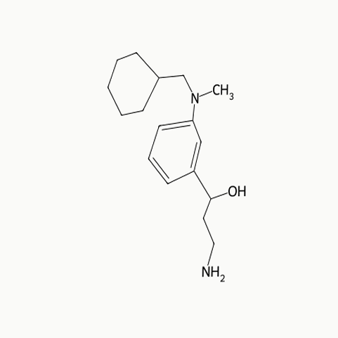 CN(CC1CCCCC1)c1cccc(C(O)CCN)c1